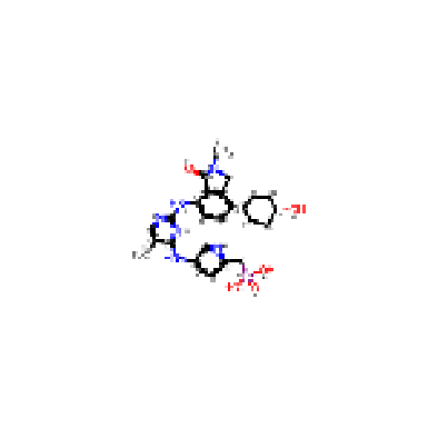 CN1Cc2c(c(Nc3ncc(C(F)(F)F)c(Nc4ccc(CP(=O)(O)O)nc4)n3)ccc2[C@H]2CC[C@H](O)CC2)C1=O